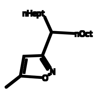 CCCCCCCCC(CCCCCCC)c1cc(C)on1